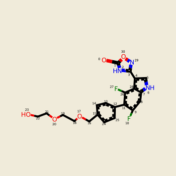 O=c1[nH]c(-c2c[nH]c3cc(F)c(-c4ccc(COCCOCCO)cc4)c(F)c23)no1